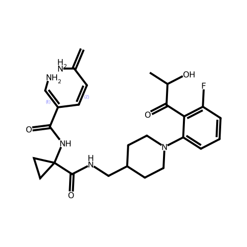 C=C(N)/C=C\C(=C/N)C(=O)NC1(C(=O)NCC2CCN(c3cccc(F)c3C(=O)C(C)O)CC2)CC1